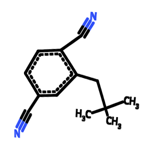 CC(C)(C)Cc1cc(C#N)ccc1C#N